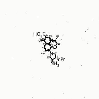 CCC[C@H]1CN(c2c(F)cc3c(=O)c(C(=O)O)cn4c3c2OC[C@@H]4C)C[C@H]1N